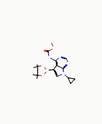 CC(C)(C)OC(=O)Nc1ncnc2c1c(B1OC(C)(C)C(C)(C)O1)cn2C1CC1